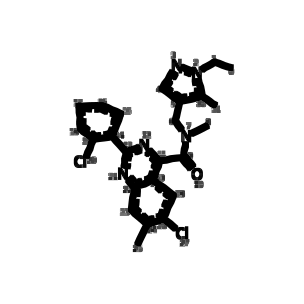 CCn1ncc(CN(C)C(=O)c2nc(-c3ccccc3Cl)nc3cc(C)c(Cl)cc23)c1C